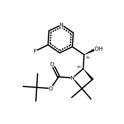 CC(C)(C)OC(=O)N1[C@@H]([C@H](O)c2cncc(F)c2)CC1(C)C